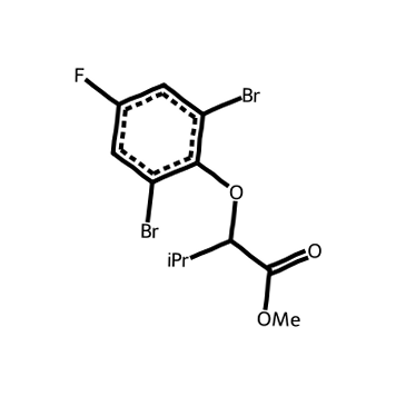 COC(=O)C(Oc1c(Br)cc(F)cc1Br)C(C)C